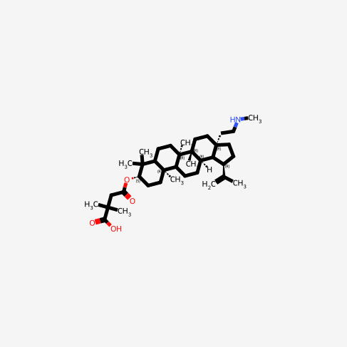 C=C(C)[C@@H]1CC[C@]2(CCNC)CC[C@]3(C)[C@H](CCC4[C@@]5(C)CC[C@H](OC(=O)CC(C)(C)C(=O)O)C(C)(C)C5CC[C@]43C)C12